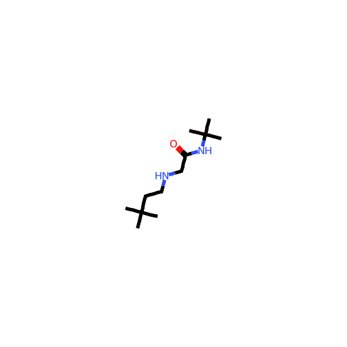 CC(C)(C)CCNCC(=O)NC(C)(C)C